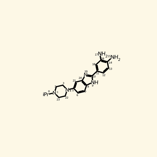 CC(C)N1CCN(c2ccc3[nH]c(-c4ccc(N)c(N)c4)nc3c2)CC1